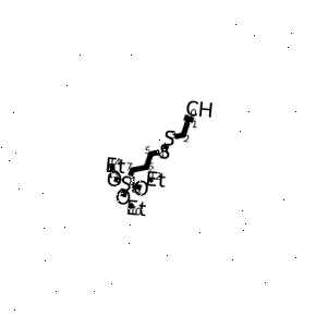 C#CCSSCCC[Si](OCC)(OCC)OCC